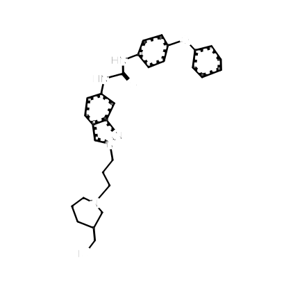 O=C(Nc1ccc(Oc2ccccc2)cc1)Nc1ccc2cn(CCCN3CCCC(CO)C3)nc2c1